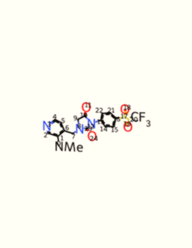 CNc1cnccc1CN1CC(=O)N(c2ccc(S(=O)(=O)C(F)(F)F)cc2)C1=O